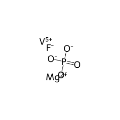 O=P([O-])([O-])[O-].[F-].[Mg+2].[V+5]